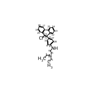 CCN(CC)CCNc1ccc(C(=C(Cl)c2ccccc2)c2ccccc2)cc1